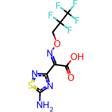 Nc1nc(C(=NOCC(F)(F)C(F)(F)F)C(=O)O)ns1